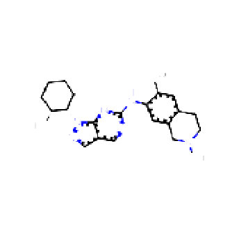 COc1cc2c(cc1Nc1ncc3cnn([C@H]4CCCC[C@@H]4C)c3n1)CN(C)CC2